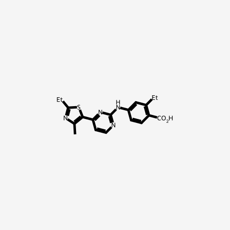 CCc1nc(C)c(-c2ccnc(Nc3ccc(C(=O)O)c(CC)c3)n2)s1